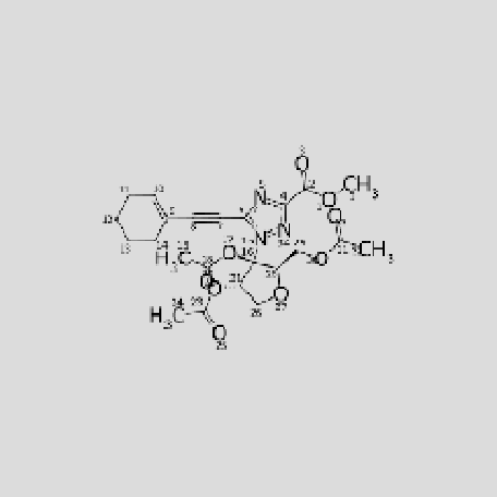 COC(=O)c1nc(C#CC2=CCCCC2)n([C@@]2(OC(C)=O)[C@@H](OC(C)=O)CO[C@@H]2COC(C)=O)n1